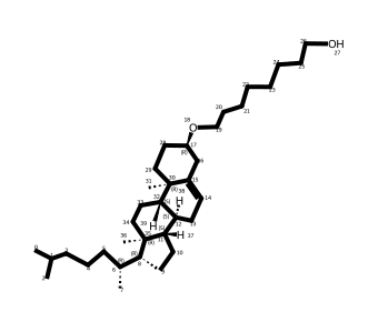 CC(C)CCC[C@@H](C)[C@H]1CC[C@H]2[C@@H]3CC=C4C[C@H](OCCCCCCCCO)CC[C@]4(C)[C@H]3CC[C@]12C